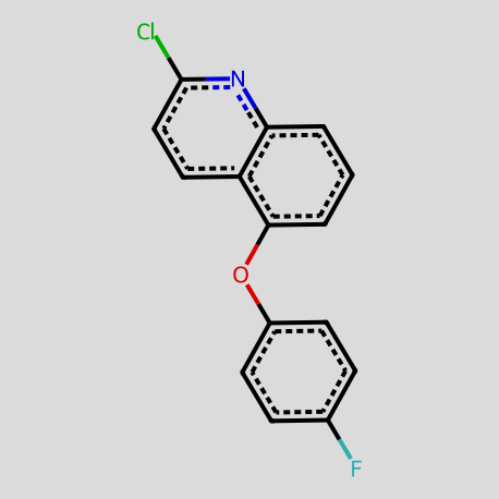 Fc1ccc(Oc2cccc3nc(Cl)ccc23)cc1